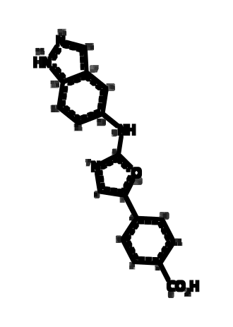 O=C(O)c1ccc(-c2cnc(Nc3ccc4[nH]ncc4c3)o2)cc1